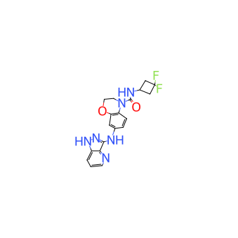 O=C(NC1CC(F)(F)C1)N1CCOc2cc(Nc3n[nH]c4cccnc34)ccc21